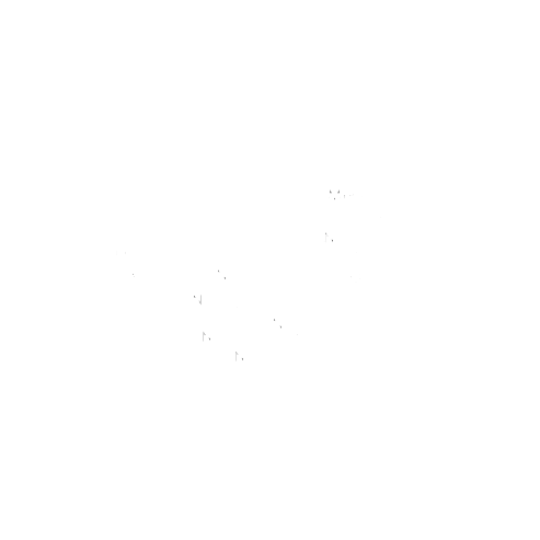 COc1c(C)cccc1C(=O)Nc1ccc(-c2nn(C3CCC(=O)C3)c3ncnc(N)c23)cc1